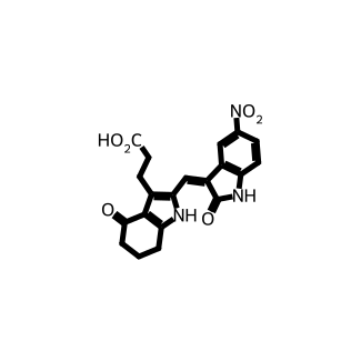 O=C(O)CCc1c(C=C2C(=O)Nc3ccc([N+](=O)[O-])cc32)[nH]c2c1C(=O)CCC2